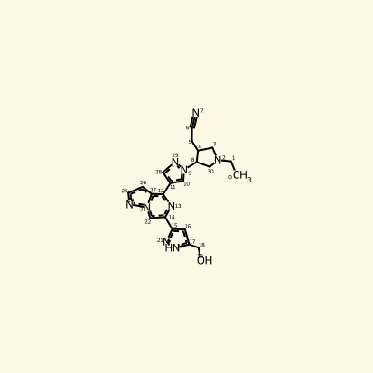 CCN1CC(CC#N)C(n2cc(-c3nc(-c4cc(CO)[nH]n4)cn4nccc34)cn2)C1